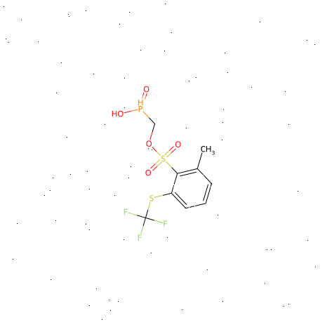 Cc1cccc(SC(F)(F)F)c1S(=O)(=O)OC[PH](=O)O